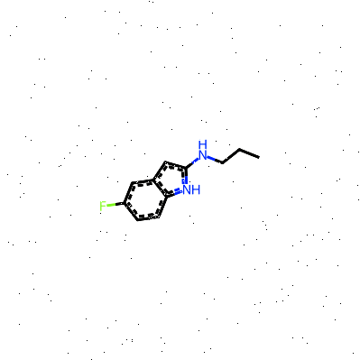 CCCNc1cc2cc(F)ccc2[nH]1